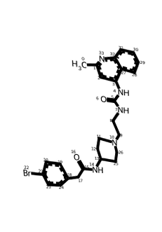 Cc1cc(NC(=O)NCCN2CCC(NC(=O)Cc3ccc(Br)cc3)CC2)c2ccccc2n1